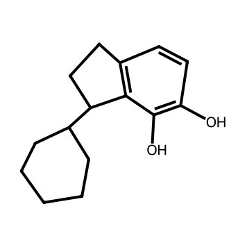 Oc1ccc2c(c1O)C(C1CCCCC1)CC2